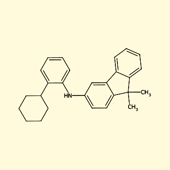 CC1(C)c2ccccc2-c2cc(Nc3ccccc3C3CCCCC3)ccc21